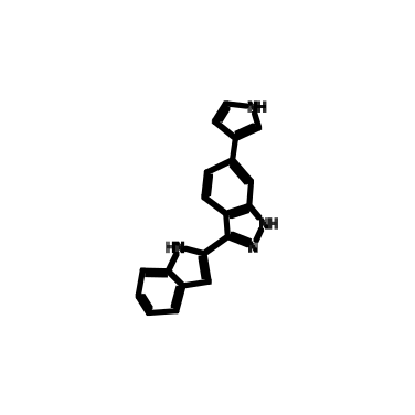 c1ccc2[nH]c(-c3n[nH]c4cc(-c5cc[nH]c5)ccc34)cc2c1